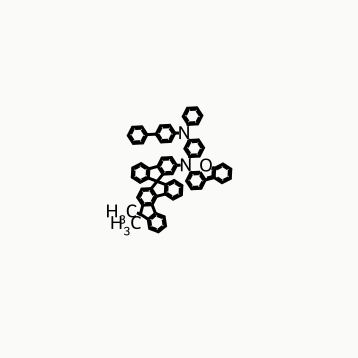 CC1(C)c2ccccc2-c2c1ccc1c2-c2ccccc2C12c1ccccc1-c1ccc(N(c3cccc(N(c4ccccc4)c4ccc(-c5ccccc5)cc4)c3)c3cccc4c3oc3ccccc34)cc12